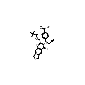 C#CCN(c1ccc(C(=O)O)cc1)n1c(COC(=O)C(C)(C)C)nc2cc3c(cc2c1=O)CCC3